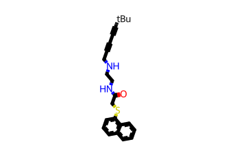 CC(C)(C)C#CC#CCNCCNC(=O)CSc1cccc2ccccc12